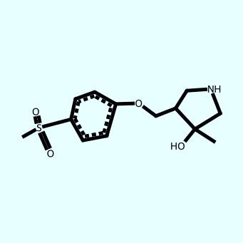 CC1(O)CNCC1COc1ccc(S(C)(=O)=O)cc1